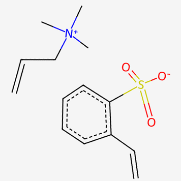 C=CC[N+](C)(C)C.C=Cc1ccccc1S(=O)(=O)[O-]